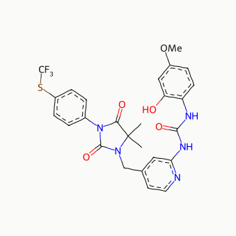 COc1ccc(NC(=O)Nc2cc(CN3C(=O)N(c4ccc(SC(F)(F)F)cc4)C(=O)C3(C)C)ccn2)c(O)c1